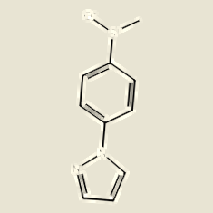 C[S+]([O-])c1ccc(-n2cccn2)cc1